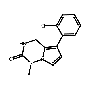 CN1C(=O)NCc2c(-c3ccccc3Cl)ccn21